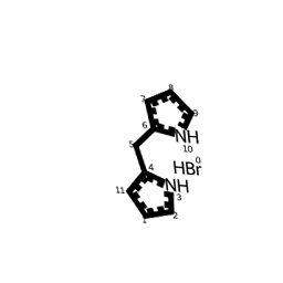 Br.c1c[nH]c(Cc2ccc[nH]2)c1